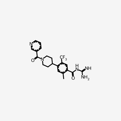 Cc1cc(C2CCN(C(=O)c3cccnc3)CC2)c(C(F)(F)F)cc1C(=O)NC(=N)N